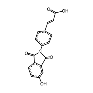 O=C(O)C=Cc1ccc(N2C(=O)c3ccc(O)cc3C2=O)cc1